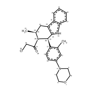 Cc1cc(N2CCOCC2)ccc1[C@@H]1c2[nH]c3ccccc3c2C[C@H](C)N1C(=O)CCl